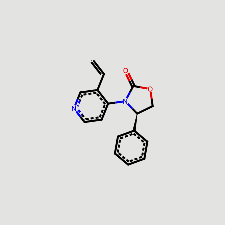 [CH]=Cc1cnccc1N1C(=O)OC[C@H]1c1ccccc1